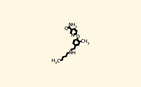 CCCCCNCCc1ccc(Oc2ccc(C(N)=O)cn2)c(C)c1